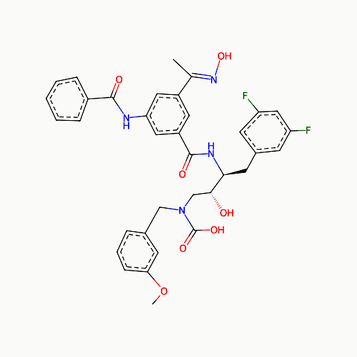 COc1cccc(CN(C[C@@H](O)[C@H](Cc2cc(F)cc(F)c2)NC(=O)c2cc(NC(=O)c3ccccc3)cc(C(C)=NO)c2)C(=O)O)c1